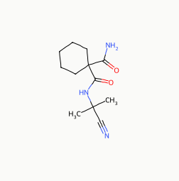 CC(C)(C#N)NC(=O)C1(C(N)=O)CCCCC1